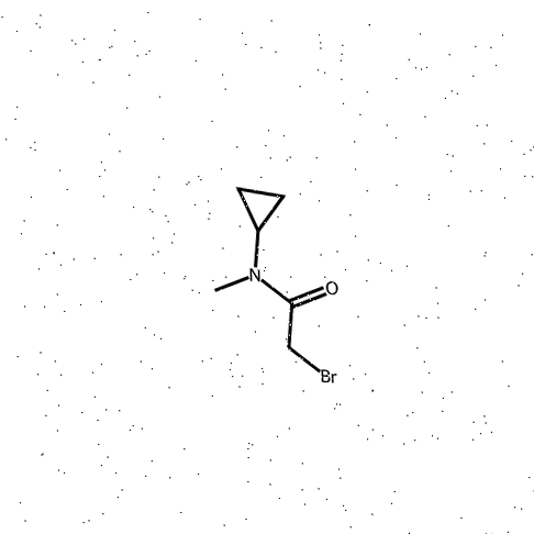 CN(C(=O)CBr)C1CC1